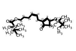 CC(C)(C)[Si](C)(C)OC1C=C(C/C=C\CCCOC(=O)[Si](C)(C)C(C)(C)C)C(=O)C1